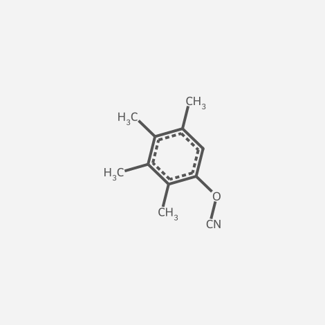 Cc1cc(OC#N)c(C)c(C)c1C